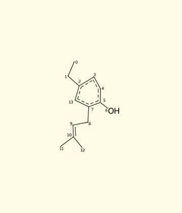 CCc1ccc(O)c(CC=C(C)C)c1